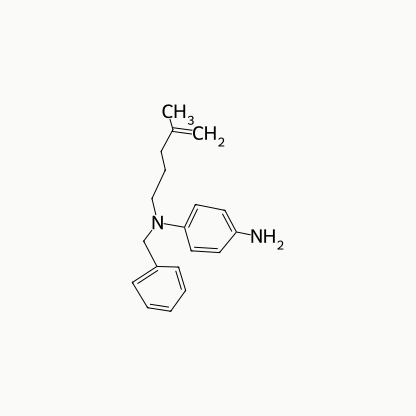 C=C(C)CCCN(Cc1ccccc1)c1ccc(N)cc1